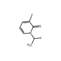 CC(I)n1cccc(F)c1=O